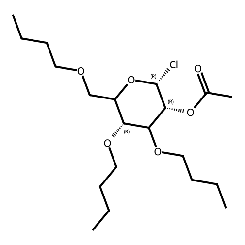 CCCCOCC1O[C@H](Cl)[C@H](OC(C)=O)C(OCCCC)[C@@H]1OCCCC